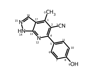 Cc1c(C#N)c(-c2ccc(O)cc2)nc2[nH]ncc12